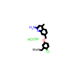 CNCc1cc(OCc2ccc3c(C)cc(N)nc3c2)ccc1Cl.Cl.Cl